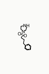 O=S(=O)(CCCc1ccccc1)N1CCNCC1